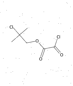 CC(C)(Cl)COC(=O)C(=O)Cl